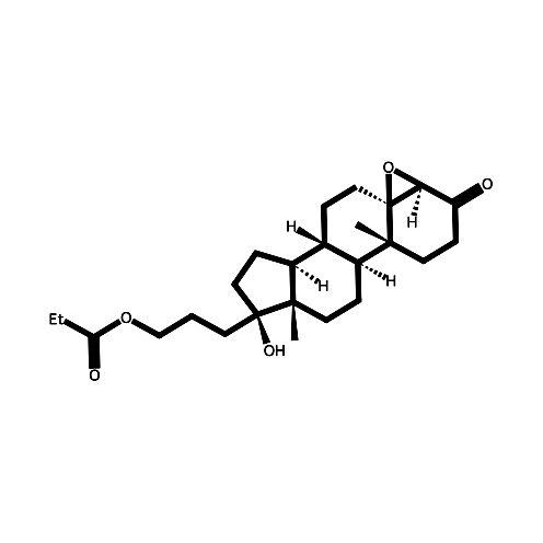 CCC(=O)OCCC[C@]1(O)CC[C@H]2[C@@H]3CC[C@]45O[C@H]4C(=O)CC[C@]5(C)[C@H]3CC[C@@]21C